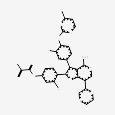 C=C(C)C(=O)Nc1ccc(-c2sc3c(-c4cnccn4)cnc(N)c3c2-c2ccc(Oc3nccc(C)n3)c(F)c2)c(C)c1